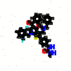 CNC(=O)Nc1ccc(-c2sc3c(c2CN(C)Cc2ccccc2)c(=O)c(C(=O)c2ccccc2)cn3Cc2c(F)cccc2F)cc1